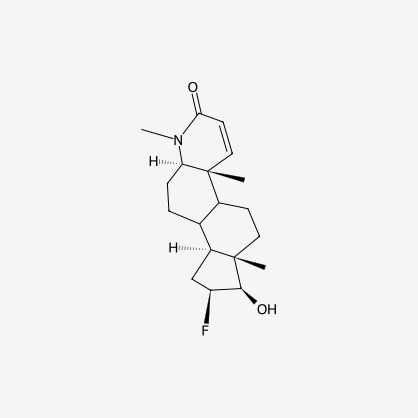 CN1C(=O)C=C[C@]2(C)C3CC[C@@]4(C)[C@@H](C[C@H](F)[C@@H]4O)C3CC[C@@H]12